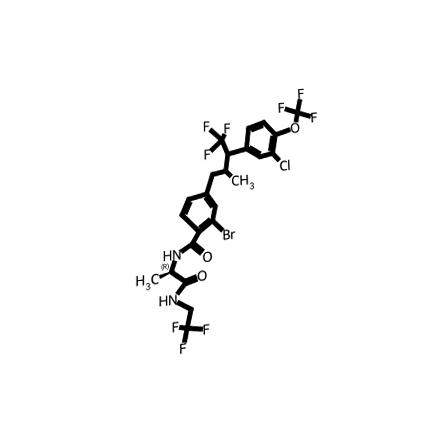 CC(Cc1ccc(C(=O)N[C@H](C)C(=O)NCC(F)(F)F)c(Br)c1)C(c1ccc(OC(F)(F)F)c(Cl)c1)C(F)(F)F